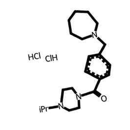 CC(C)N1CCN(C(=O)c2ccc(CN3CCCCCC3)cc2)CC1.Cl.Cl